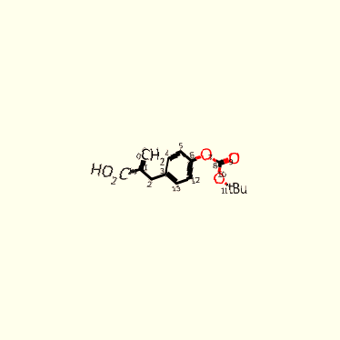 C=C(Cc1ccc(OC(=O)OC(C)(C)C)cc1)C(=O)O